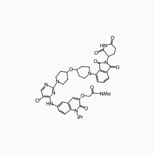 CNC(=O)COc1cc2cc(Nc3nc(N4CCC(OC5CCN(c6cccc7c6C(=O)N(C6CCC(=O)NC6=O)C7=O)CC5)CC4)ncc3Cl)ccc2n(C(C)C)c1=O